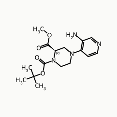 COC(=O)[C@H]1CN(c2ccncc2N)CCN1C(=O)OC(C)(C)C